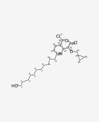 OCCCCCCCCCCCc1ccc2c(Cl)cc(Cl)c(OCC3CC3)c2n1